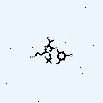 CC(C)c1nc(CCO)n(CC(F)(F)F)c1Sc1cc(Cl)cc(Cl)c1